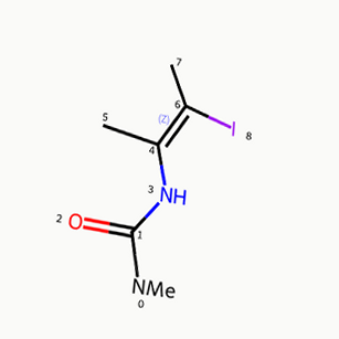 CNC(=O)N/C(C)=C(/C)I